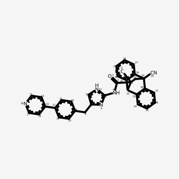 CC1(C(=O)Nc2nc(Cc3ccc(-c4ccncc4)cc3)c[nH]2)CC2(C#N)c3ccccc3C1c1ccccc12